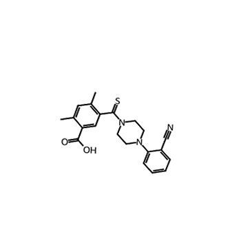 Cc1cc(C)c(C(=S)N2CCN(c3ccccc3C#N)CC2)cc1C(=O)O